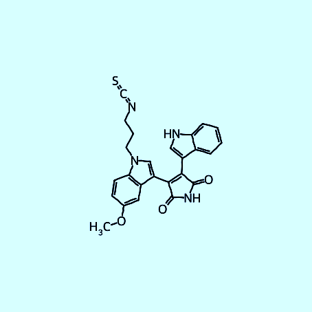 COc1ccc2c(c1)c(C1=C(c3c[nH]c4ccccc34)C(=O)NC1=O)cn2CCCN=C=S